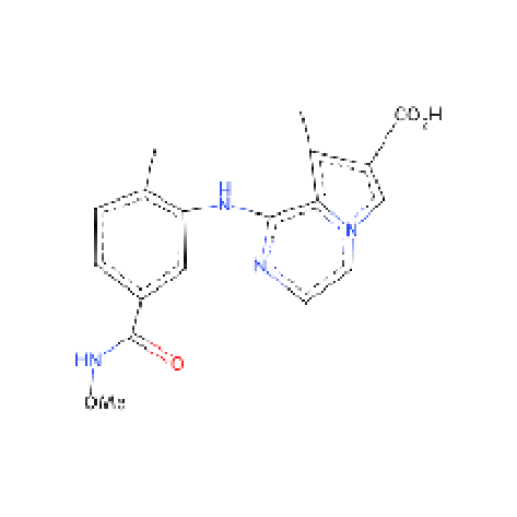 CONC(=O)c1ccc(C)c(Nc2nccn3cc(C(=O)O)c(C)c23)c1